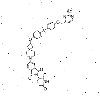 CC(=O)c1nccc(COc2ccc(C(C)(C)c3ccc(OC4CC5(CCN(c6ccc7c(c6)C(=O)N(C6CCC(=O)NC6=O)C7=O)CC5)C4)cc3)cc2)n1